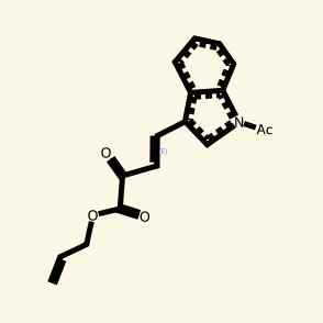 C=CCOC(=O)C(=O)/C=C/c1cn(C(C)=O)c2ccccc12